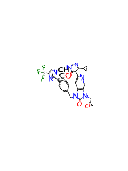 COc1ncnc(C2CC2)c1-c1cc2c(cn1)n(CC1CO1)c(=O)n2Cc1ccc(-c2nc(C(F)(F)F)cn2C)cc1